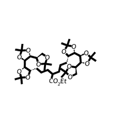 CCOC(=O)C(CCC[C@@H]1OC(C)(C)O[C@@H]1[C@H]1OC(C)(C)O[C@@H]1[C@H]1COC(C)(C)O1)CCC[C@@H]1OC(C)(C)O[C@@H]1[C@H]1OC(C)(C)O[C@@H]1[C@H]1COC(C)(C)O1